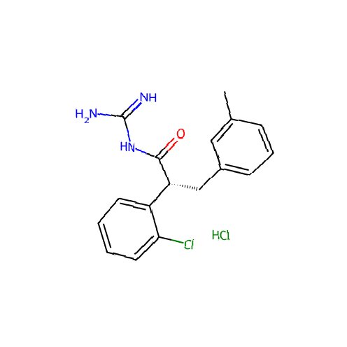 Cc1cccc(C[C@@H](C(=O)NC(=N)N)c2ccccc2Cl)c1.Cl